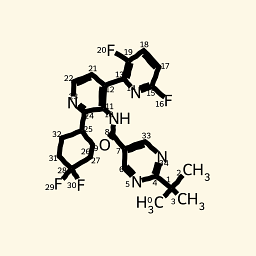 CC(C)(C)c1ncc(C(=O)Nc2c(-c3nc(F)ccc3F)ccnc2C2CCC(F)(F)CC2)cn1